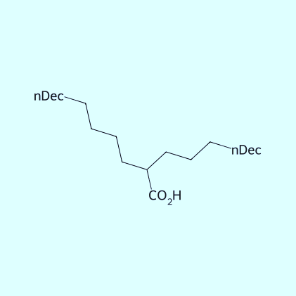 CCCCCCCCCCCCCCC(CCCCCCCCCCCCC)C(=O)O